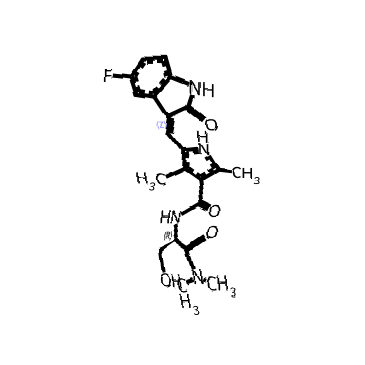 Cc1[nH]c(/C=C2\C(=O)Nc3ccc(F)cc32)c(C)c1C(=O)N[C@H](CO)C(=O)N(C)C